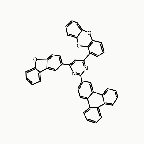 c1ccc2c(c1)Oc1cccc(-c3cc(-c4ccc5oc6ccccc6c5c4)nc(-c4ccc5c6ccccc6c6ccccc6c5c4)n3)c1O2